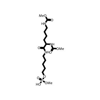 COC(=O)NCCCCC(NC(=O)OC)C(=O)NCCCCCOP(=O)(O)OC